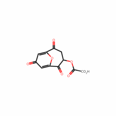 O=C(O)C(=O)OC1CC(=O)c2cc(=O)cc(o2)C1=O